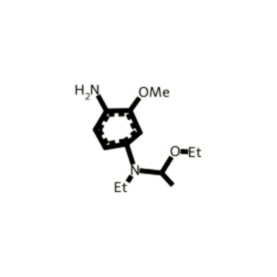 CCOC(C)N(CC)c1ccc(N)c(OC)c1